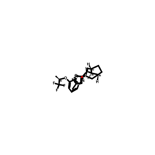 Cc1cc(N2C[C@H]3CC[C@@H](C2)[C@@H]3Nc2nc3c(O[C@H](C)C(F)(F)F)cccn3n2)on1